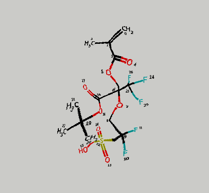 C=C(C)C(=O)OC(OCC(F)(F)S(=O)(=O)O)(C(=O)OC(C)(C)C)C(F)(F)F